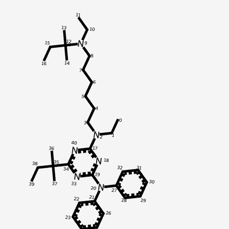 CCN(CCCCCCN(CC)C(C)(C)CC)c1nc(N(c2ccccc2)c2ccccc2)nc(C(C)(C)CC)n1